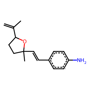 C=C(C)C1CCC(C)(/C=C/c2c[c]c(N)cc2)O1